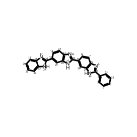 c1ccc(-c2nc3ccc(-c4nc5ccc(-c6nc7ccccc7[nH]6)cc5[nH]4)cc3[nH]2)cc1